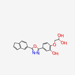 Oc1cc(-c2nnc(-c3ccc4c(c3)C=CC4)o2)ccc1OCC(O)O